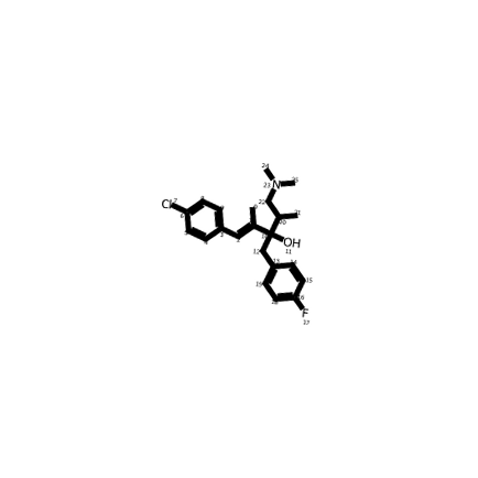 CC(=Cc1ccc(Cl)cc1)C(O)(Cc1ccc(F)cc1)C(C)CN(C)C